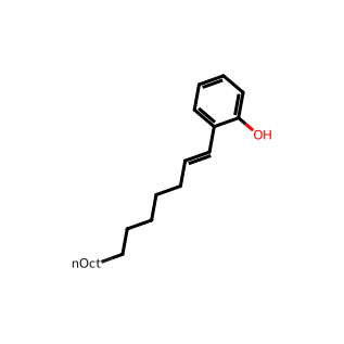 CCCCCCCCCCCCC/C=C/c1ccccc1O